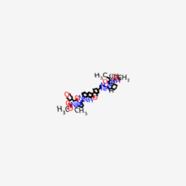 CC[C@H]1CC[C@@H](c2nc3ccc4cc5c(cc4c3[nH]2)OCc2cc(-c3cnc([C@@H]4C[C@@H]6CCCC[C@@H]6N4C(=O)[C@@H](NC(=O)OC)[C@@H](C)CC)[nH]3)ccc2-5)N1C(=O)[C@@H](NC(=O)OC)C1CCOCC1